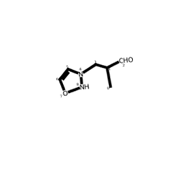 CC(C=O)CN1C=CON1